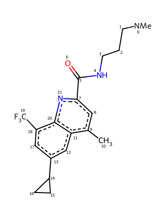 CNCCCNC(=O)c1cc(C)c2cc(C3CC3)cc(C(F)(F)F)c2n1